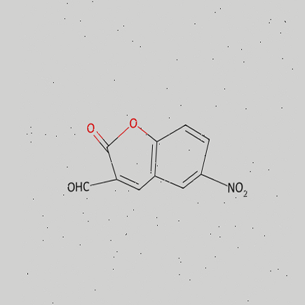 O=Cc1cc2cc([N+](=O)[O-])ccc2oc1=O